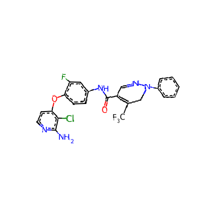 Nc1nccc(Oc2ccc(NC(=O)C3=C(C(F)(F)F)CN(c4ccccc4)N=C3)cc2F)c1Cl